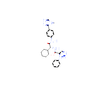 Cn1cnnc1-c1ccc(NC(=O)[C@@H](NC(=O)c2cnnn2-c2ccccc2)C2CCCCC2)cc1